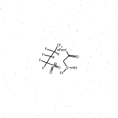 CCCCCC(=O)C[S+](CC)CC.O=S(=O)([O-])C(F)(F)C(F)(F)C(F)(F)C(F)(F)F